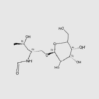 C[C@@H](O)[C@H](CO[C@H]1OC(CO)[C@H](O)[C@H](O)C1O)NC=O